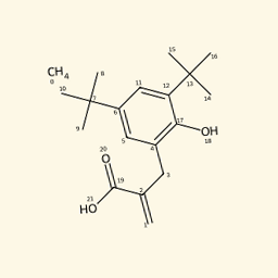 C.C=C(Cc1cc(C(C)(C)C)cc(C(C)(C)C)c1O)C(=O)O